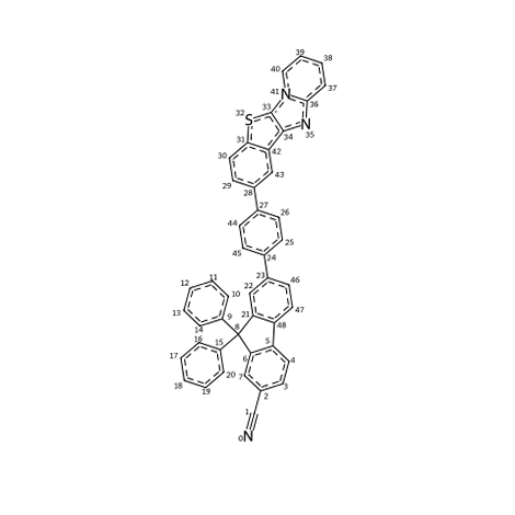 N#Cc1ccc2c(c1)C(c1ccccc1)(c1ccccc1)c1cc(-c3ccc(-c4ccc5sc6c(nc7ccccn76)c5c4)cc3)ccc1-2